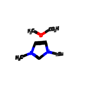 CCCCN1C=CN(C)C1.O=C(O)OC(F)(F)F